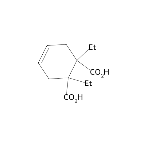 CCC1(C(=O)O)CC=CCC1(CC)C(=O)O